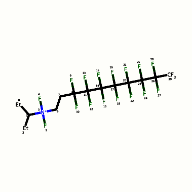 CCC(CC)[N+](F)(F)CCC(F)(F)C(F)(F)C(F)(F)C(F)(F)C(F)(F)C(F)(F)C(F)(F)C(F)(F)F